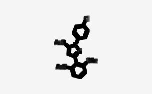 CC(=O)Oc1cccc(OC(C)=O)c1-c1cc(OC(C)=O)n(-c2ccc(Cl)cc2)n1